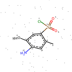 COc1cc(S(=O)(=O)Cl)c(C)cc1N